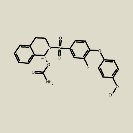 CCOc1ccc(Oc2ccc(S(=O)(=O)N3CCc4ccccc4[C@H]3OC(N)=O)cc2F)cc1